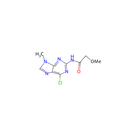 COCC(=O)Nc1nc(Cl)c2ncn(C)c2n1